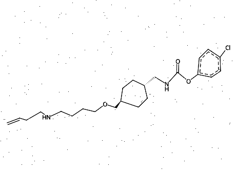 C=CCCNCCCCOC[C@H]1CC[C@H](CNC(=O)Oc2ccc(Cl)cc2)CC1